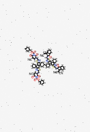 CC1=C(C#N)C(=O)N(C(=O)OCc2ccccc2)C(=O)/C1=C/c1nc2c(s1)C1=C(c3sc(/C=C4/C(=O)N(C(=O)OCc5ccccc5)C(=O)C(C#N)=C4C)nc3C13CCC(C1CCCC4(C1)C1=C(c5sc(/C=C6\C(=O)c7ccccc7C6=C(C#N)C#N)nc54)C4(CCCCC4)c4nc(/C=C5\C(=O)c6ccccc6C5=C(C#N)C#N)sc41)CC3)C21CCCCC1